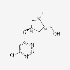 C[C@H]1C[C@H](Oc2cc(Cl)ncn2)C[C@H]1CO